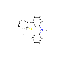 CN(c1ccccc1)c1cccc2c1sc1c(C#N)cccc12